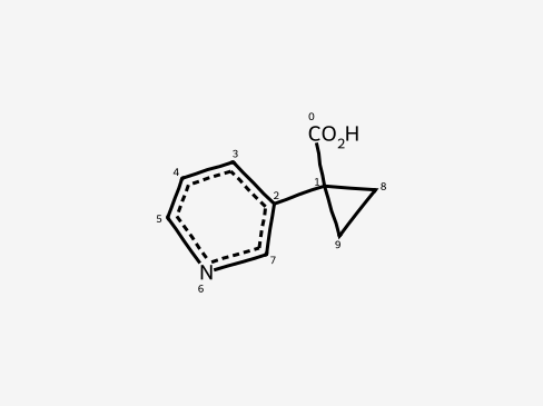 O=C(O)C1(c2cccnc2)CC1